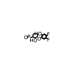 O=PCC1CCCC(Oc2cc(F)c(F)cc2O)[C@@H]1O